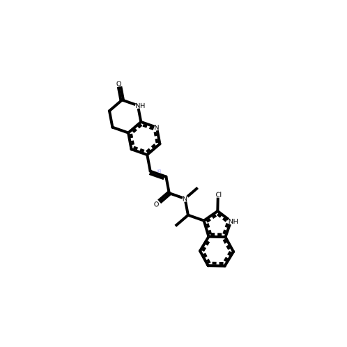 CC(c1c(Cl)[nH]c2ccccc12)N(C)C(=O)/C=C/c1cnc2c(c1)CCC(=O)N2